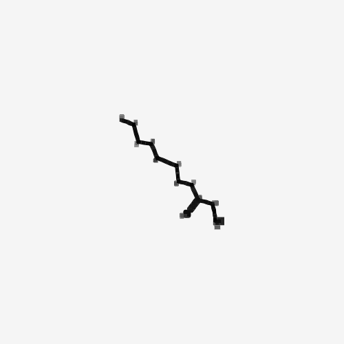 CCCCCCCCC(=O)CS